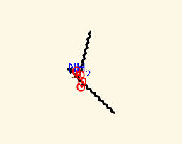 CCCCCCCCCCCCCCCC(=O)OCC(CSCC(C)N)OC(=O)CCCCCCCCCCCCCCC